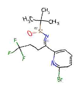 CC(C)(C)[S@@+]([O-])/N=C(\CCC(F)(F)F)c1cccc(Br)n1